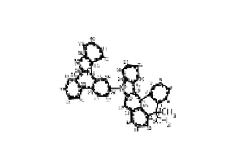 CC1(C)c2ccccc2-c2c3c1cccc3cc1c2c2ccccc2n1-c1ccc2c3ccccc3c3nc4ccccc4n3c2c1